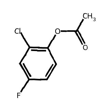 CC(=O)Oc1ccc(F)cc1Cl